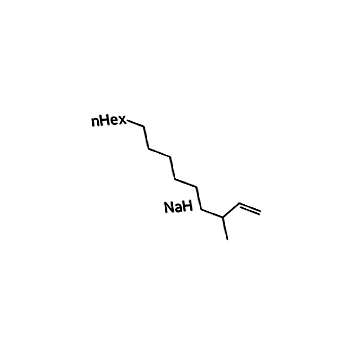 C=CC(C)CCCCCCCCCCCC.[NaH]